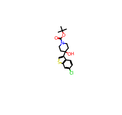 CC(C)(C)OC(=O)N1CCC(O)(c2csc3cc(Cl)ccc23)CC1